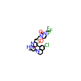 C[C@@H]1C[C@H](N2CCCc3cc(Cl)cc(-c4ccnc5cc(Cn6c(=O)ccn(CC(F)(F)F)c6=O)sc45)c32)CN1